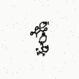 CC1=C(C(=O)N2CCN(c3cc(C(F)(F)F)ccn3)CC2)C2(CCNCC2)OC1=O